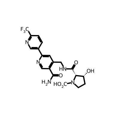 NC(=O)c1cnc(-c2ccc(C(F)(F)F)nc2)cc1CNC(=O)[C@@H]1[C@H](O)CCN1C(=O)O